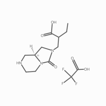 CCC(CN1C[C@@H]2CNCCN2C1=O)C(=O)O.O=C(O)C(F)(F)F